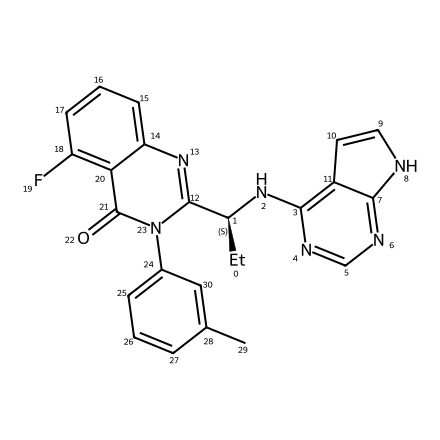 CC[C@H](Nc1ncnc2[nH]ccc12)c1nc2cccc(F)c2c(=O)n1-c1cccc(C)c1